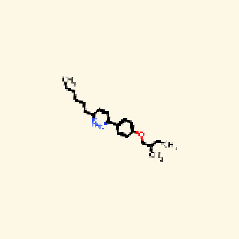 CCCCCCc1ccc(-c2ccc(OCC(C)CC)cc2)nn1